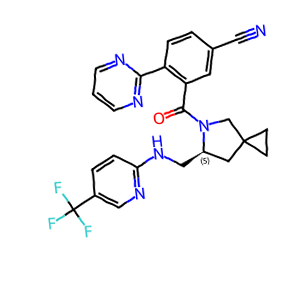 N#Cc1ccc(-c2ncccn2)c(C(=O)N2CC3(CC3)C[C@H]2CNc2ccc(C(F)(F)F)cn2)c1